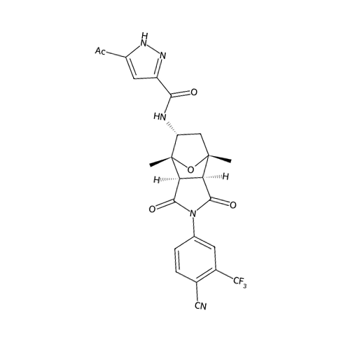 CC(=O)c1cc(C(=O)N[C@@H]2C[C@@]3(C)O[C@]2(C)[C@@H]2C(=O)N(c4ccc(C#N)c(C(F)(F)F)c4)C(=O)[C@@H]23)n[nH]1